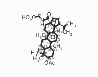 C=C(C)[C@@H]1CC[C@]2(C(=O)NCC(=O)O)CC[C@]3(C)[C@H](CCC4[C@@]5(C)CC[C@H](OC(C)=O)C(C)(C)[C@@H]5CC[C@]43C)[C@@H]12